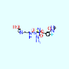 NC(=O)c1c(OCc2ccc(F)c(C(=O)NC3CC3)c2)nsc1NC(=O)NCCCCN1CC[C@@H](O)C1